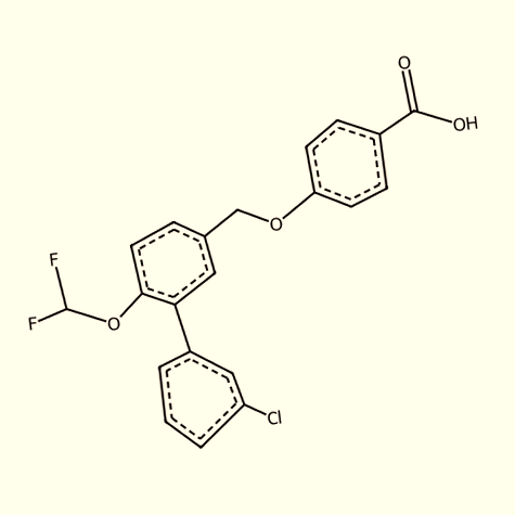 O=C(O)c1ccc(OCc2ccc(OC(F)F)c(-c3cccc(Cl)c3)c2)cc1